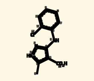 Cc1[nH]nc(Nc2ccccc2Cl)c1C(=O)O